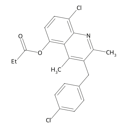 CCC(=O)Oc1ccc(Cl)c2nc(C)c(Cc3ccc(Cl)cc3)c(C)c12